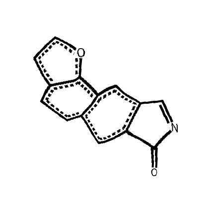 O=C1N=Cc2cc3c(ccc4ccoc43)cc21